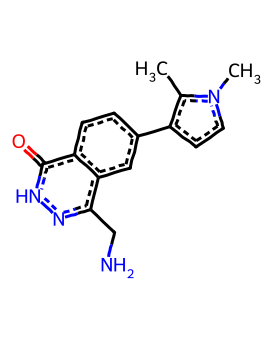 Cc1c(-c2ccc3c(=O)[nH]nc(CN)c3c2)ccn1C